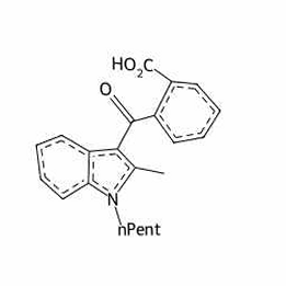 CCCCCn1c(C)c(C(=O)c2ccccc2C(=O)O)c2ccccc21